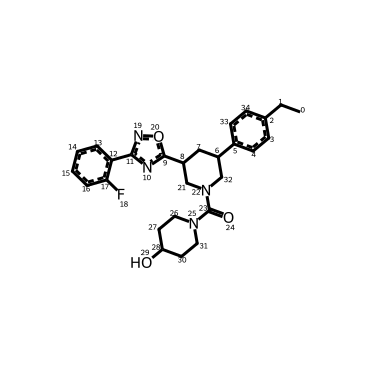 CCc1ccc(C2CC(c3nc(-c4ccccc4F)no3)CN(C(=O)N3CCC(O)CC3)C2)cc1